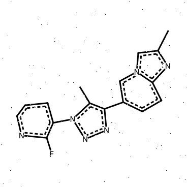 Cc1cn2cc(-c3nnn(-c4cccnc4F)c3C)ccc2n1